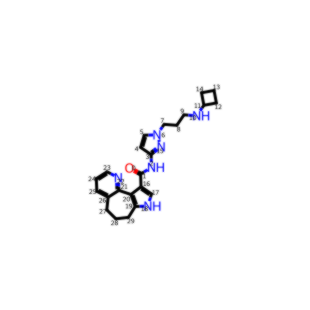 O=C(Nc1ccn(CCCNC2CCC2)n1)c1c[nH]c2c1-c1ncccc1CCC2